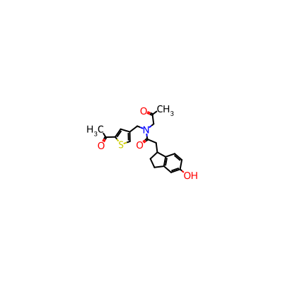 CC(=O)CN(Cc1csc(C(C)=O)c1)C(=O)CC1CCc2cc(O)ccc21